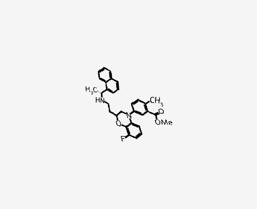 COC(=O)c1cc(N2CC(CCN[C@H](C)c3cccc4ccccc34)Oc3c(F)cccc32)ccc1C